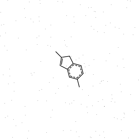 CC1=Cc2cc(C)ccc2C1